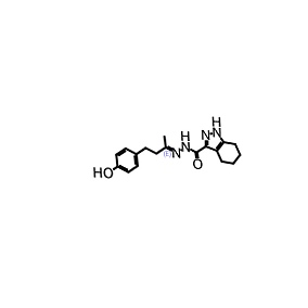 C/C(CCc1ccc(O)cc1)=N\NC(=O)c1n[nH]c2c1CCCC2